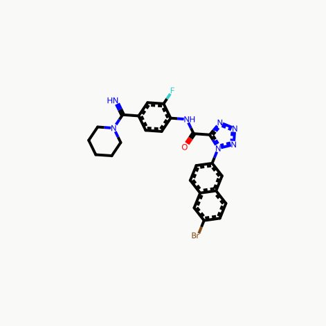 N=C(c1ccc(NC(=O)c2nnnn2-c2ccc3cc(Br)ccc3c2)c(F)c1)N1CCCCC1